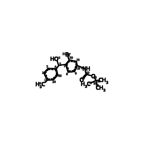 Cc1ccc(C(O)c2ccc(NC(=O)OC(C)(C)C)cc2Br)cc1